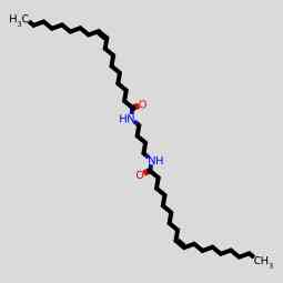 CCCCCCCC/C=C\CCCCCCCC(=O)NCCCCNC(=O)CCCCCCC/C=C\CCCCCCCC